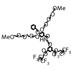 COCCOCCOCCOCCOc1cc(C(=O)NCCOc2cc(C(=O)OCCC(F)(C(F)(F)F)C(F)(F)F)cc(C(=O)OCCC(F)(C(F)(F)F)C(F)(F)F)c2)cc(OCCOCCOCCOCCOC)c1OCc1ccccc1